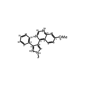 COc1[c]cc2c(-c3cn(C)nc3-c3ccccc3)ncnc2c1